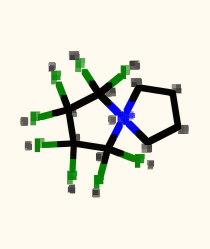 FC1(F)C(F)(F)C(F)(F)[N+]2(CCCC2)C1(F)F